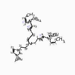 C/C=C\N(/C=N/CCN(CC/N=C/N(/C=C\C)CCCC)CC[n+]1ccn(CCCC)c1)CCCC